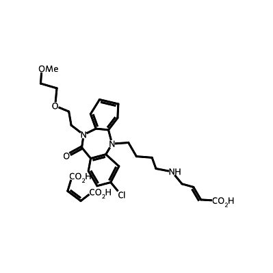 COCCOCCN1C(=O)c2ccc(Cl)cc2N(CCCCNC/C=C/C(=O)O)c2ccccc21.O=C(O)/C=C\C(=O)O